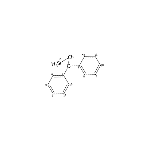 [SiH3]Cl.c1ccc(Oc2ccccc2)cc1